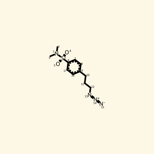 CN(C)S(=O)(=O)c1ccc(CCCN=[N+]=[N-])cc1